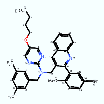 CCOC(=O)CCCOc1cnc(N(Cc2cc(C(F)(F)F)cc(C(F)(F)F)c2)Cc2cc3ccccc3nc2-c2cc(C(C)C)ccc2OC)nc1